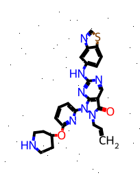 C=CCn1c(=O)c2cnc(Nc3ccc4scnc4c3)nc2n1-c1cccc(OC2CCNCC2)n1